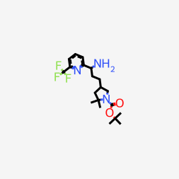 CC(C)(C)OC(=O)N1CC(CCC(N)c2cccc(C(F)(F)F)n2)CC1(C)C